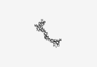 CN(C(=O)c1c(C=O)cccc1N1CCN(CC2CCN(c3nccc(COc4ccc(C(C)(C)c5cc(Cl)cc(C#N)c5)cc4)n3)CC2)CC1)C1CCC(=O)NC1=O